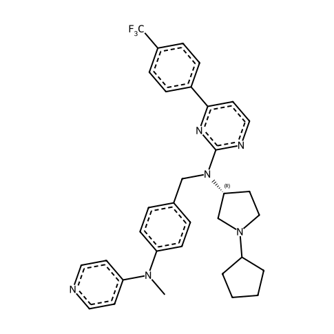 CN(c1ccncc1)c1ccc(CN(c2nccc(-c3ccc(C(F)(F)F)cc3)n2)[C@@H]2CCN(C3CCCC3)C2)cc1